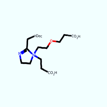 CCCCCCCCCCCC1=NCC[N+]1(CCOCCC(=O)O)CCC(=O)O